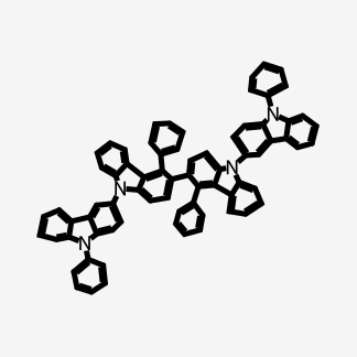 c1ccc(-c2c(-c3ccc4c(c3-c3ccccc3)c3ccccc3n4-c3ccc4c(c3)c3ccccc3n4-c3ccccc3)ccc3c2c2ccccc2n3-c2ccc3c(c2)c2ccccc2n3-c2ccccc2)cc1